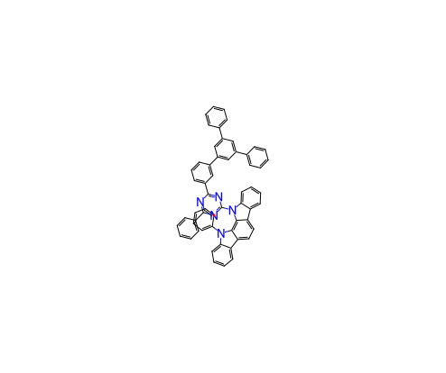 c1ccc(-c2cc(-c3ccccc3)cc(-c3cccc(-c4nc(-c5ccccc5)nc(-n5c6ccccc6c6ccc7c8ccccc8n(-c8ccccc8)c7c65)n4)c3)c2)cc1